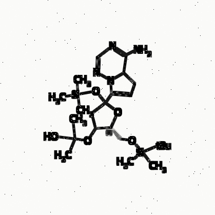 CC(C)(O)OC1CC(O[Si](C)(C)C)(C2=CCC3C(N)=NC=NN23)O[C@@H]1CO[Si](C)(C)C(C)(C)C